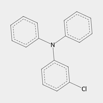 Clc1cccc(N(c2ccccc2)c2ccccc2)c1